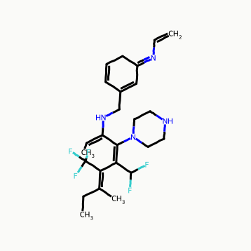 C=C/N=C1/C=C(CNC(=C/C)/C(=C(\C(=C(/C)CC)C(F)(F)F)C(F)F)N2CCNCC2)C=CC1